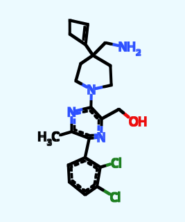 Cc1nc(N2CCC(CN)(C3=CCC3)CC2)c(CO)nc1-c1cccc(Cl)c1Cl